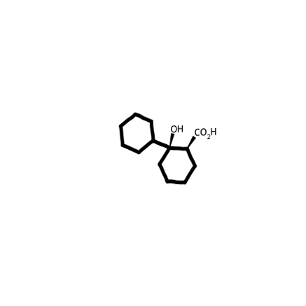 O=C(O)[C@H]1CCCC[C@]1(O)C1CCCCC1